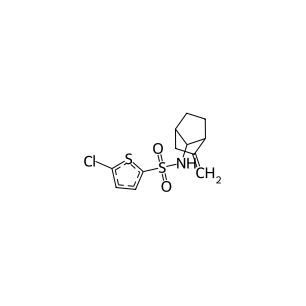 C=C1CC2CCC1C2NS(=O)(=O)c1ccc(Cl)s1